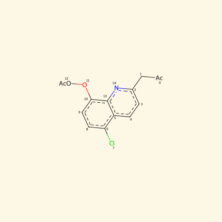 CC(=O)Cc1ccc2c(Cl)ccc(OOC(C)=O)c2n1